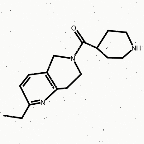 CCc1ccc2c(n1)CCN(C(=O)C1CCNCC1)C2